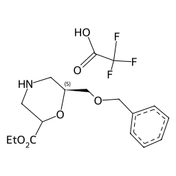 CCOC(=O)C1CNC[C@@H](COCc2ccccc2)O1.O=C(O)C(F)(F)F